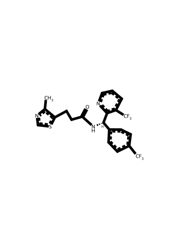 Cc1ncsc1CCC(=O)N[C@@H](c1ccc(C(F)(F)F)cc1)c1ncccc1C(F)(F)F